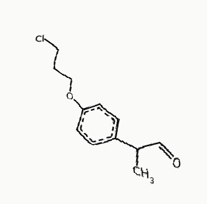 CC(C=O)c1ccc(OCCCCl)cc1